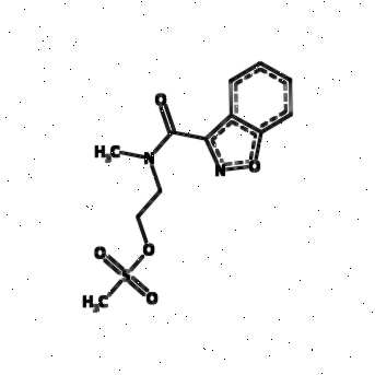 CN(CCOS(C)(=O)=O)C(=O)c1noc2ccccc12